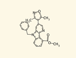 COC(=O)c1cccc2c1c1ncc(-c3c(C)noc3C)cc1n2Cc1ccccc1